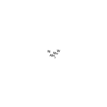 [AlH3].[Mn].[Ni].[W]